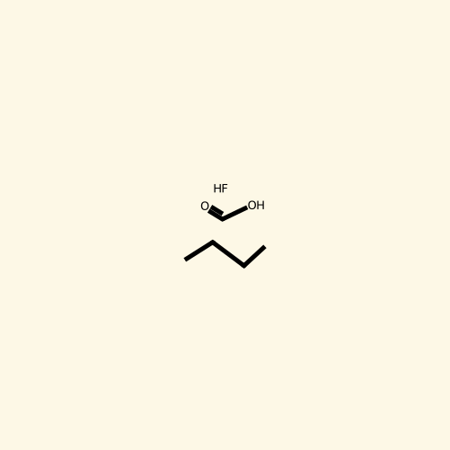 CCCC.F.O=CO